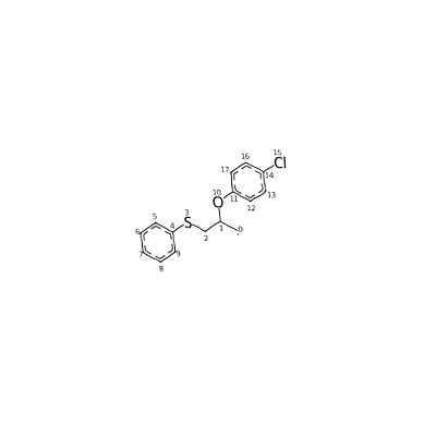 [CH2]C(CSc1ccccc1)Oc1ccc(Cl)cc1